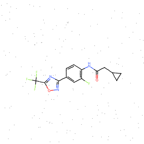 O=C(CC1CC1)Nc1ccc(-c2noc(C(F)(F)F)n2)cc1F